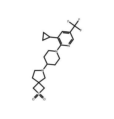 O=S1(=O)CC2(CCN(C3CCN(c4ncc(C(F)(F)F)cc4C4CC4)CC3)C2)C1